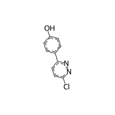 Oc1ccc(-c2ccc(Cl)nn2)cc1